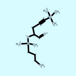 CCCC[Si](C)(C)OC(C=O)CC#C[Si](C)(C)C